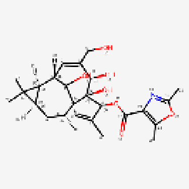 CC1=C[C@]23C(O)[C@@H](C=C(CO)[C@@H](O)[C@]2(O)[C@H]1OC(=O)c1nc(C)oc1C)[C@H]1[C@@H](C[C@H]3C)C1(C)C